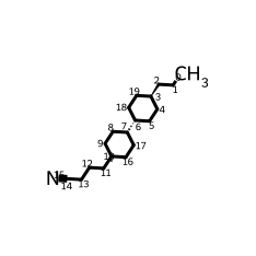 CCC[C@H]1CC[C@H](C2CC[C](CCCC#N)CC2)CC1